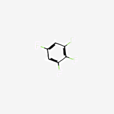 Fc1[c]c(F)c(F)c(F)[c]1